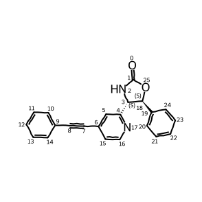 O=C1N[C@@H](c2cc(C#Cc3ccccc3)ccn2)[C@H](c2ccccc2)O1